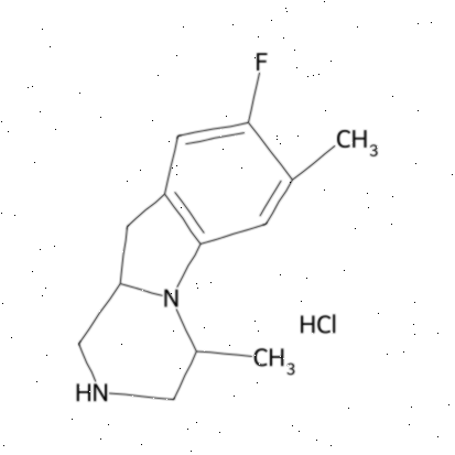 Cc1cc2c(cc1F)CC1CNCC(C)N21.Cl